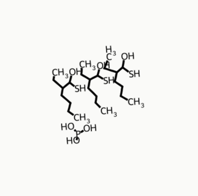 CCCCC(CC)C(O)S.CCCCC(CC)C(O)S.CCCCC(CC)C(O)S.OP(O)O